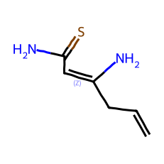 C=CC/C(N)=C/C(N)=S